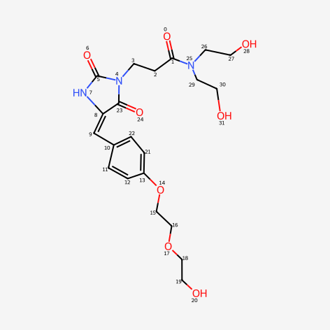 O=C(CCN1C(=O)NC(=Cc2ccc(OCCOCCO)cc2)C1=O)N(CCO)CCO